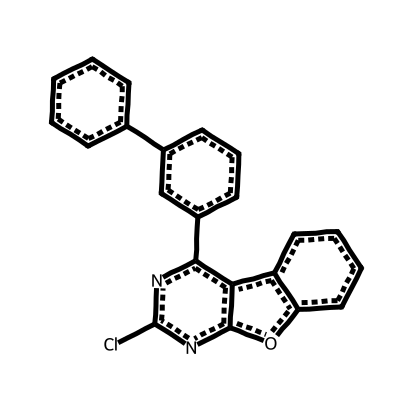 Clc1nc(-c2cccc(-c3ccccc3)c2)c2c(n1)oc1ccccc12